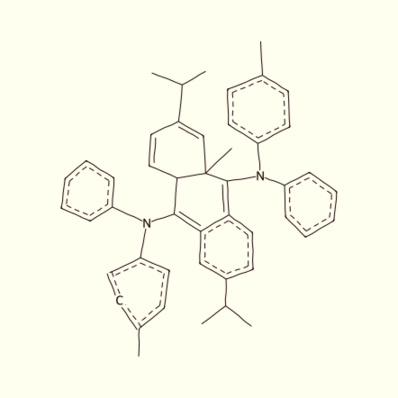 Cc1ccc(N(C2=c3cc(C(C)C)ccc3=C(N(c3ccccc3)c3ccc(C)cc3)C3(C)C=C(C(C)C)C=CC23)c2ccccc2)cc1